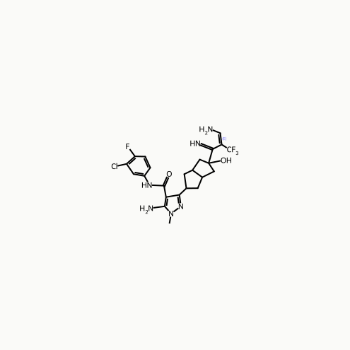 Cn1nc(C2CC3CC(O)(C(=N)/C(=C\N)C(F)(F)F)CC3C2)c(C(=O)Nc2ccc(F)c(Cl)c2)c1N